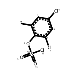 Cc1cc(Cl)cc(Cl)c1OS(=O)(=O)Cl